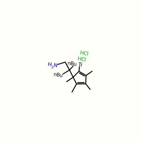 CCCCC(CN)(CCCC)C1(C)C(C)=C(C)C(C)=[C]1[Ti].Cl.Cl